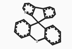 c1ccc2c(c1)Sc1ccccc1C21c2ccccc2-c2cccnc21